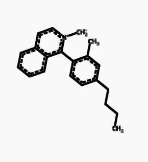 [CH2-][n+]1ccc2ccccc2c1-c1ccc(CCCC)cc1C